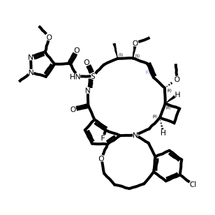 COc1nn(C)cc1C(=O)NS1(=O)=NC(=O)c2ccc3c(c2F)N(Cc2ccc(Cl)cc2CCCCO3)C[C@@H]2CC[C@H]2[C@@H](OC)/C=C/[C@H](OC)[C@H](C)C1